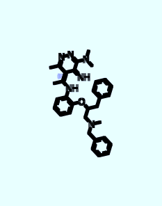 CC1=NN=C(N(C)C)C(=N)/C1=C(/C)Nc1ccccc1OC(Cc1ccccc1)CN(C)Cc1ccccc1